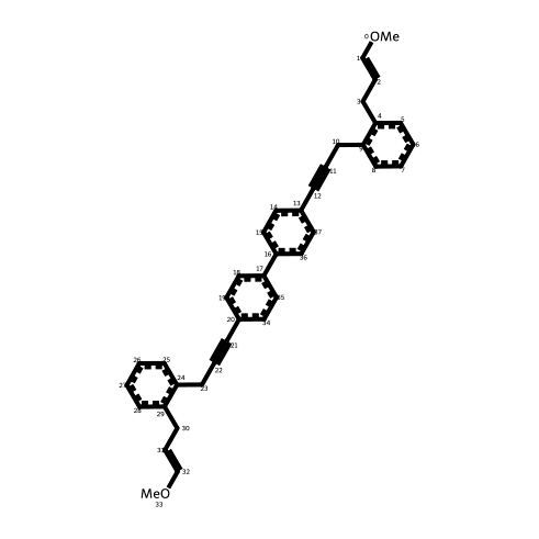 CO/C=C/Cc1ccccc1CC#Cc1ccc(-c2ccc(C#CCc3ccccc3C/C=C/OC)cc2)cc1